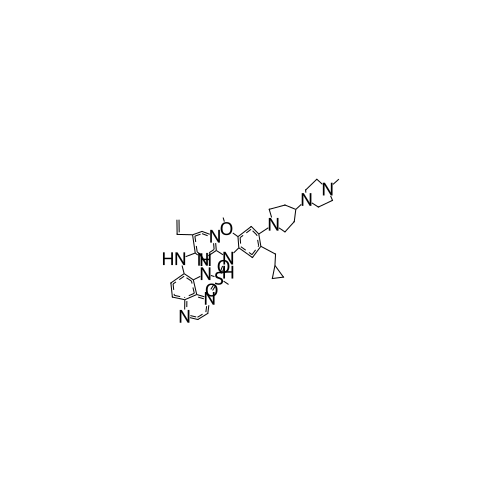 C=Cc1cnc(Nc2cc(CC3CC3)c(N3CCC(N4CCN(C)CC4)CC3)cc2OC)nc1Nc1ccc2nccnc2c1NS(C)(=O)=O